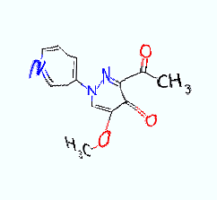 COc1cn(-c2cccnc2)nc(C(C)=O)c1=O